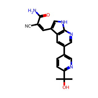 CC(C)(O)c1ccc(-c2cnc3[nH]cc(C=C(C#N)C(N)=O)c3c2)cn1